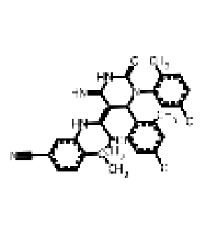 COc1ccc(C#N)cc1N/C(=C1\C(=N)NC(=O)N(c2cc(Cl)ccc2C)C1c1ccc(Cl)cc1C)C(C)C